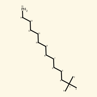 CC(C)(C)CCCCCCCCCCCP